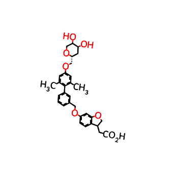 Cc1cc(OC[C@H]2C[C@H](O)[C@H](O)CO2)cc(C)c1-c1cccc(COc2ccc3c(c2)OCC3CC(=O)O)c1